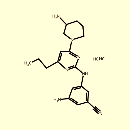 CCCc1cc(N2CCCC(N)C2)nc(Nc2cc(N)cc(C#N)c2)n1.Cl.Cl